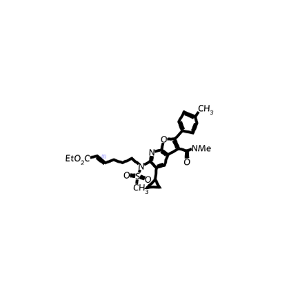 CCOC(=O)/C=C/CCCN(c1nc2oc(-c3ccc(C)cc3)c(C(=O)NC)c2cc1C1CC1)S(C)(=O)=O